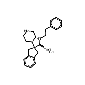 Cl.Cl.O=C(NCCc1ccccc1)C1(N2CCNCC2)Cc2ccccc2C1